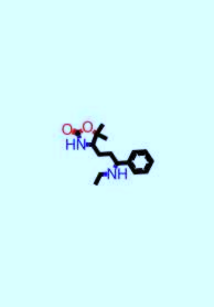 CCNC(CCC1NC(=O)OC1(C)C)c1ccccc1